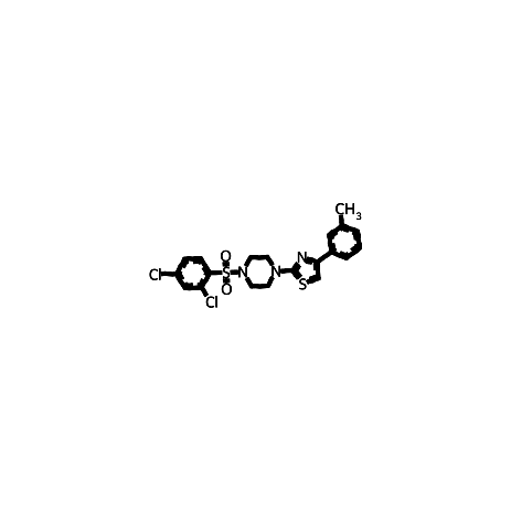 Cc1cccc(-c2csc(N3CCN(S(=O)(=O)c4ccc(Cl)cc4Cl)CC3)n2)c1